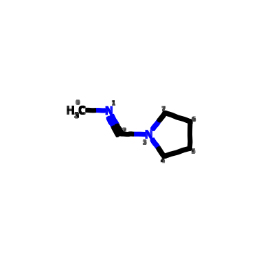 C/N=C/N1[CH]CCC1